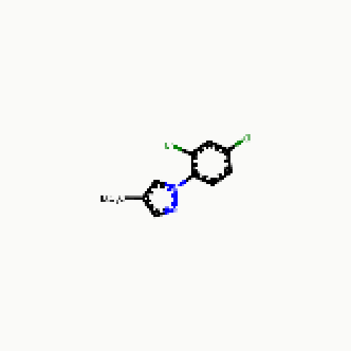 CCOC(=O)c1cnn(-c2ccc(Cl)cc2Br)c1